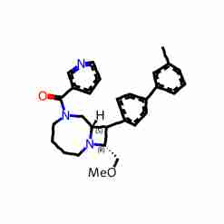 COC[C@H]1C(c2ccc(-c3cccc(C)c3)cc2)[C@H]2CN(C(=O)c3cccnc3)CCCCN21